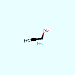 C#CCO.F